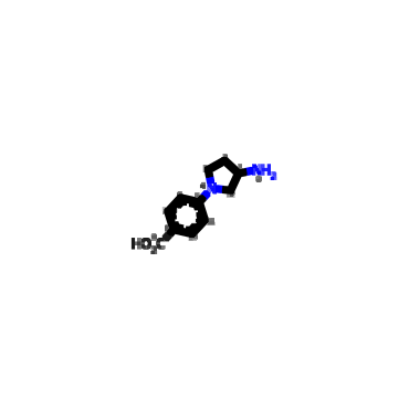 NC1CCN(c2ccc(C(=O)O)cc2)C1